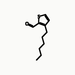 CCCCCCc1ccsc1C=O